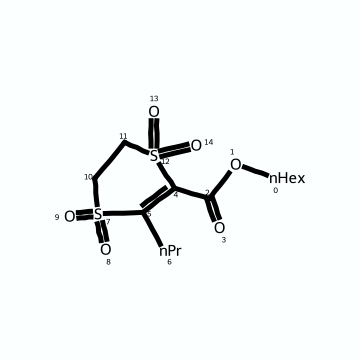 CCCCCCOC(=O)C1=C(CCC)S(=O)(=O)CCS1(=O)=O